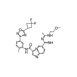 COCCN/C(C)=N\C(=N)c1ccc2ncc(C(=O)Nc3cc(-c4noc(C5CC(F)(F)C5)n4)ccc3C)n2c1